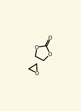 C1CO1.O=C1OCCO1